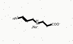 CCCC=CCNCCC(=O)[O-].[Na+]